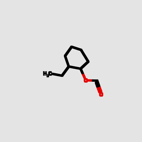 CCC1CCCCC1OC=O